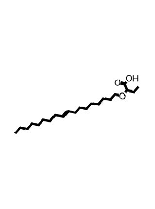 CCCCCCCCC=CCCCCCCCCOC(CC)C(=O)O